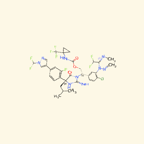 C=NN(/C(=N\C)C(F)F)c1cc([C@@H](COC(=O)NC2(C(F)(F)F)CC2)N2C(=N)N[C@](CC(C)C)(c3ccc(-c4cnn(C(F)F)c4)cc3F)C2=O)ccc1Cl